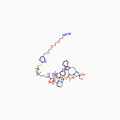 CC[C@]1(O)C[C@H]2C[C@](C(=O)OC)(c3cc4c(cc3OC)N(C)[C@H]3[C@@](O)(C(=O)NCCC[Si](C)(C)O[Si](C)(C)CSc5ncc(COCCOCCOCCN=[N+]=[N-])cn5)[C@H](O)[C@]5(CC)C=CCN6CC[C@]43[C@@H]65)c3[nH]c4ccccc4c3CCN2C1